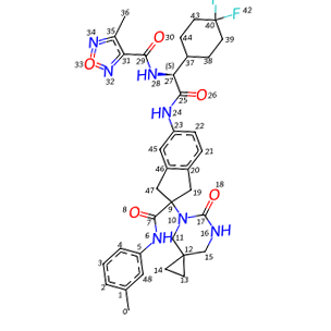 Cc1cccc(NC(=O)C2(N3CC4(CC4)CNC3=O)Cc3ccc(NC(=O)[C@@H](NC(=O)c4nonc4C)C4CCC(F)(F)CC4)cc3C2)c1